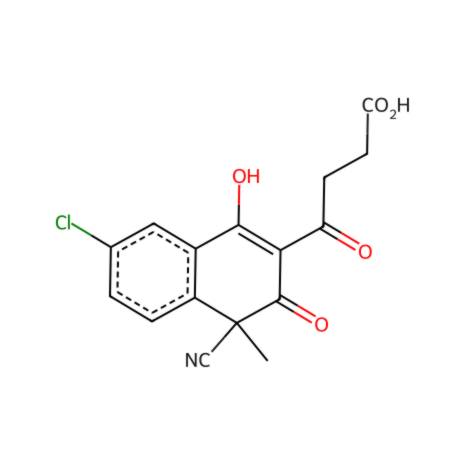 CC1(C#N)C(=O)C(C(=O)CCC(=O)O)=C(O)c2cc(Cl)ccc21